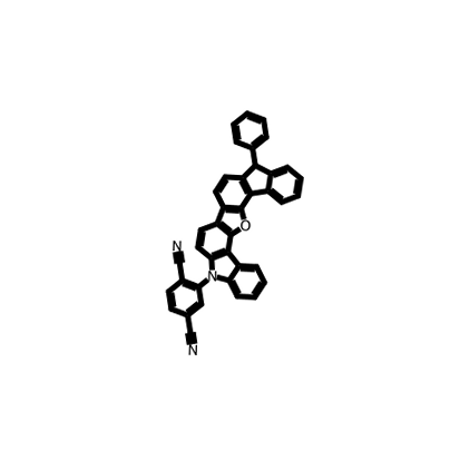 N#Cc1ccc(C#N)c(-n2c3ccccc3c3c4oc5c6c(ccc5c4ccc32)C(c2ccccc2)c2ccccc2-6)c1